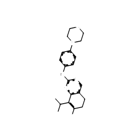 CC(C)C1=C(O)CCc2cnc(Nc3ccc(N4CCNCC4)cc3)nc21